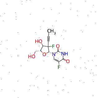 CC#CC1(F)C(O)[C@@H](CO)O[C@H]1n1cc(F)c(=O)[nH]c1=O